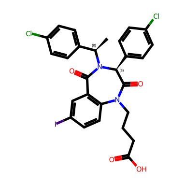 C[C@H](c1ccc(Cl)cc1)N1C(=O)c2cc(I)ccc2N(CCCC(=O)O)C(=O)[C@@H]1c1ccc(Cl)cc1